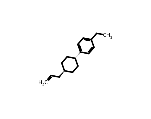 C=CC[C@H]1CC[C@H](c2ccc(CC)cc2)CC1